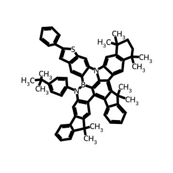 CC(C)(C)c1ccc(N2B3c4cc5cc(-c6ccccc6)sc5cc4-n4c5cc6c(cc5c5c7c(c(c3c54)-c3cc4c(cc32)-c2ccccc2C4(C)C)-c2ccccc2C7(C)C)C(C)(C)CCC6(C)C)cc1